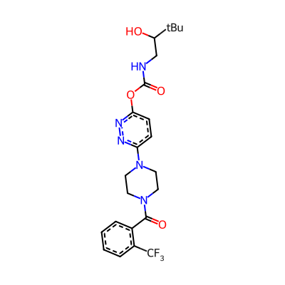 CC(C)(C)C(O)CNC(=O)Oc1ccc(N2CCN(C(=O)c3ccccc3C(F)(F)F)CC2)nn1